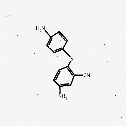 N#Cc1cc(N)ccc1Sc1ccc(N)cc1